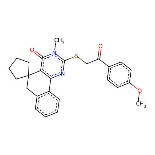 COc1ccc(C(=O)CSc2nc3c(c(=O)n2C)C2(CCCC2)Cc2ccccc2-3)cc1